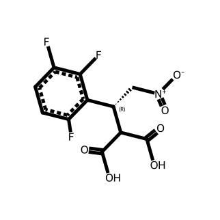 O=C(O)C(C(=O)O)[C@@H](C[N+](=O)[O-])c1c(F)ccc(F)c1F